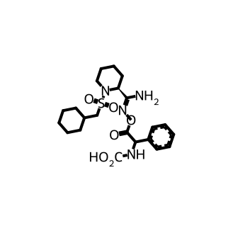 N/C(=N\OC(=O)C(NC(=O)O)c1ccccc1)[C@@H]1CCCCN1S(=O)(=O)CC1CCCCC1